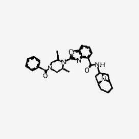 CC1CN(C(=O)c2ccccc2)CC(C)N1c1nc2c(C(=O)NC3CC4CCCC(C3)N4C)cccc2o1